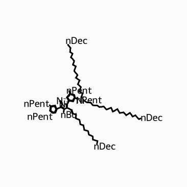 CCCCCCCCCCCCCCCCCCCCCC=CC1=C(c2cc(CCCCC)cc(CCCCC)c2)[N+](=[N-])C(c2cc(CCCCC)cc(CCCCC)c2)=C1CCCC.CCCCCCCCCCCCCCCCCCCCCCCCCC[CH2][Ni][CH2]CCCCCCCCCCCCCCCCCCCCCCCCCC